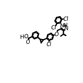 CC(C)c1nnn(-c2c(Cl)cccc2Cl)c1COc1ccc(C2CC2c2cccc(C(=O)O)c2)c(Cl)c1